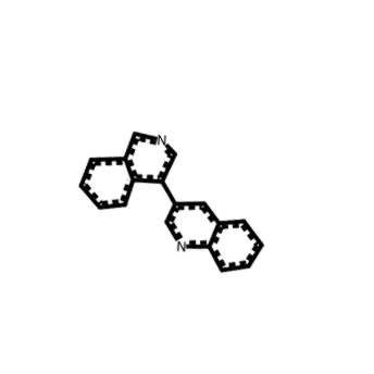 c1ccc2ncc(-c3cncc4ccccc34)cc2c1